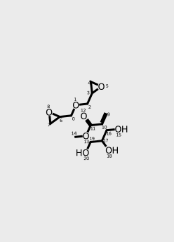 C(OCC1CO1)C1CO1.C=CC(=O)OC.OCC(O)CO